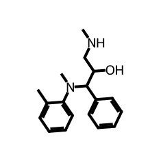 CNCC(O)C(c1ccccc1)N(C)c1ccccc1C